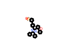 CP(C)(=O)c1cccc(-c2ccc(-c3nc(-c4ccccc4)c(-c4ccccc4)nc3-c3cccc4oc5ccccc5c34)cc2)c1